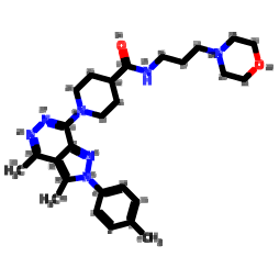 Cc1ccc(-n2nc3c(N4CCC(C(=O)NCCCN5CCOCC5)CC4)nnc(C)c3c2C)cc1